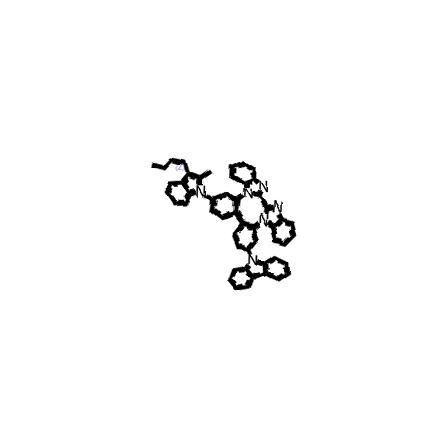 C=C/C=C\c1c(C)n(-c2ccc3c4ccc(-n5c6ccccc6c6ccccc65)cc4n4c5ccccc5nc4c4nc5ccccc5n4c3c2)c2ccccc12